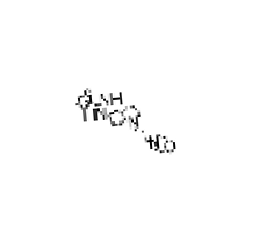 N=C(Nc1ccc2c(c1)CCCN2CCCN1CCOCC1)c1cccs1